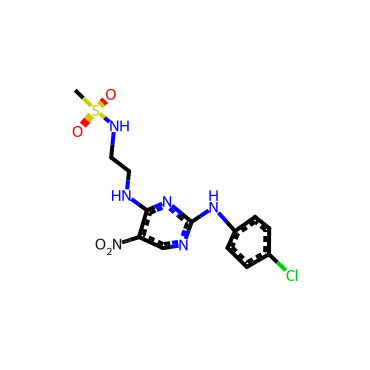 CS(=O)(=O)NCCNc1nc(Nc2ccc(Cl)cc2)ncc1[N+](=O)[O-]